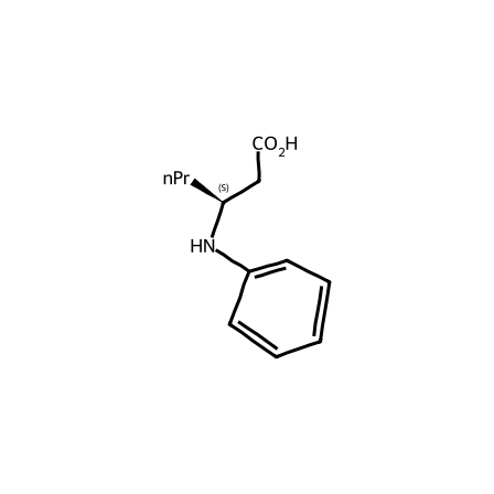 CCC[C@@H](CC(=O)O)Nc1ccccc1